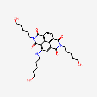 O=C1c2ccc3c4c(c(NCCCCCO)cc(c24)C(=O)N1CCCCCO)C(=O)N(CCCCCO)C3=O